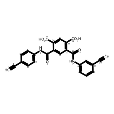 C#Cc1ccc(NC(=O)c2cc(C(=O)Nc3cccc(C#C)c3)c(C(=O)O)cc2C(=O)O)cc1